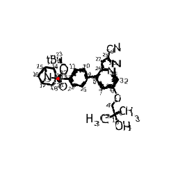 CC(C)(O)COc1cc(-c2ccc(N3CC4CC(C3)N4C(=O)OC(C)(C)C)cc2)c2cc(C#N)nn2c1